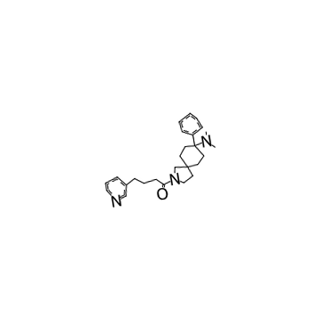 CN(C)C1(c2ccccc2)CCC2(CCN(C(=O)CCCc3cccnc3)C2)CC1